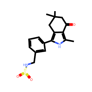 Cc1[nH]c(-c2cccc(CN[SH](=O)=O)c2)c2c1C(=O)CC(C)(C)C2